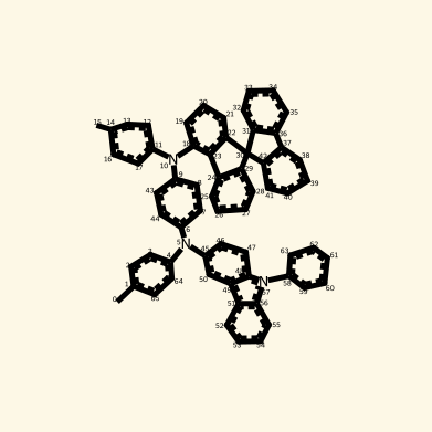 Cc1ccc(N(c2ccc(N(c3ccc(C)cc3)c3cccc4c3-c3ccccc3C43c4ccccc4-c4ccccc43)cc2)c2ccc3c(c2)c2ccccc2n3-c2ccccc2)cc1